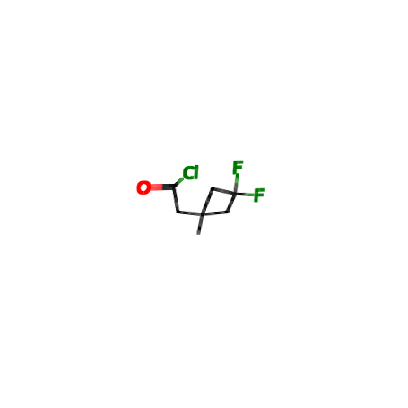 CC1(CC(=O)Cl)CC(F)(F)C1